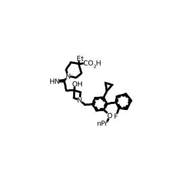 CCCOc1cc(CN2CC(O)(CC(=N)N3CCC(CC)(C(=O)O)CC3)C2)cc(C2CC2)c1-c1ccccc1F